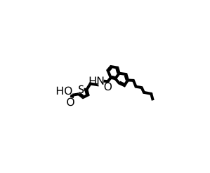 CCCCCCc1ccc2c(C(=O)NCCc3ccc(C(=O)O)s3)cccc2c1